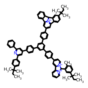 CCC(C)(C)c1ccc(-c2cc(-c3ccc(-c4cc(-c5ccc(-c6cc[n+]7c(c6)-c6cccc[n+]6C7c6cc(C(C)(C)CC)ccc6C)cc5)cc(-c5ccc(-c6cc7[n+]8c(c6)-c6ccc(C(C)(C)CC)cc6C8c6ccccc6-7)cc5)c4)cc3)cc(-c3ccccc3)n2)cc1